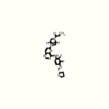 C=CC(=O)N1C[C@@H]2C[C@H]1CN2c1ccc2ncnc(Nc3ccc(OC[C@@H]4CCCO4)c(F)c3F)c2n1